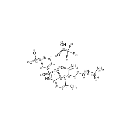 Cc1ccc(NS(=O)(=O)c2cccc([N+](=O)[O-])c2)c(=O)n1C(CCONC(=N)N)C(N)=O.O=C(O)C(F)(F)F